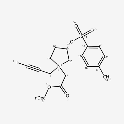 CCCCCCCCCCOC(=O)C[N+]1(CC#CI)CCCC1.Cc1ccc(S(=O)(=O)[O-])cc1